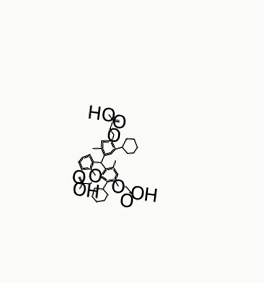 Cc1cc(OCC(=O)O)c(C2CCCCC2)cc1C(c1cc(C2CCCCC2)c(OCC(=O)O)cc1C)c1ccccc1OCC(=O)O